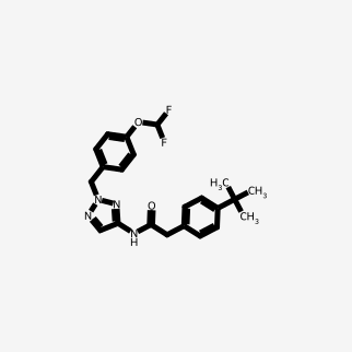 CC(C)(C)c1ccc(CC(=O)Nc2cnn(Cc3ccc(OC(F)F)cc3)n2)cc1